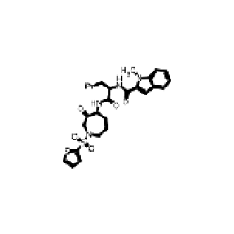 CC(C)CC(NC(=O)c1cc2ccccc2n1C)C(=O)N[C@H]1CCCN(S(=O)(=O)c2cccs2)CC1=O